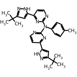 Cc1ccc(N(c2nccc(-c3cc(C(C)(C)C)n[nH]3)n2)c2nccc(-c3cc(C(C)(C)C)n[nH]3)n2)cc1